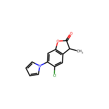 CC1C(=O)Oc2cc(-n3cccc3)c(Cl)cc21